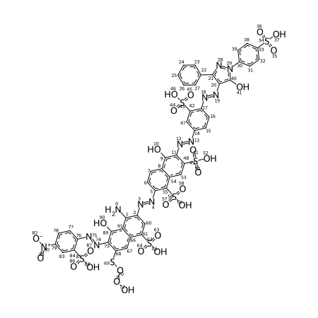 Nc1c(N=Nc2ccc3c(O)c(N=Nc4ccc(N=Nc5c(-c6ccccc6)nn(-c6ccc(S(=O)(=O)O)cc6)c5O)c(S(=O)(=O)O)c4)c(S(=O)(=O)O)cc3c2S(=O)(=O)O)cc(S(=O)(=O)O)c2cc(SOOO)c(N=Nc3ccc([N+](=O)[O-])cc3S(=O)(=O)O)c(O)c12